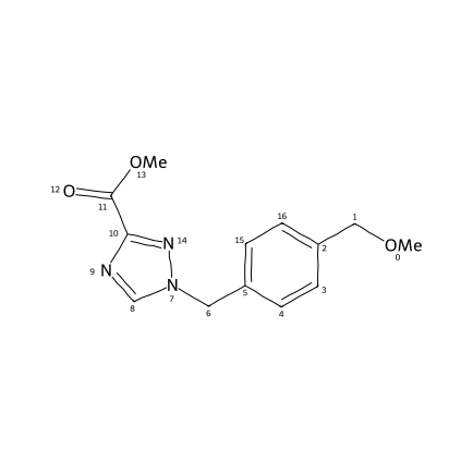 COCc1ccc(Cn2cnc(C(=O)OC)n2)cc1